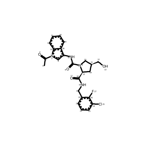 CC(=O)n1cc(NC(=O)N2C[C@@H](CO)C[C@H]2C(=O)NCc2cccc(Cl)c2F)c2ccccc21